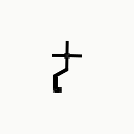 C[Si](C)(C)CC=N